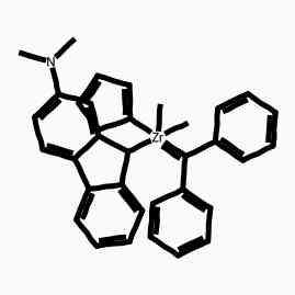 CN(C)c1ccc2c(c1)[CH]([Zr]([CH3])([CH3])([C]1=CC=CC1)=[C](c1ccccc1)c1ccccc1)c1ccccc1-2